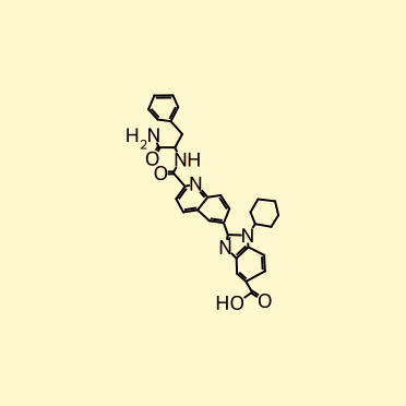 NC(=O)C(Cc1ccccc1)NC(=O)c1ccc2cc(-c3nc4cc(C(=O)O)ccc4n3C3CCCCC3)ccc2n1